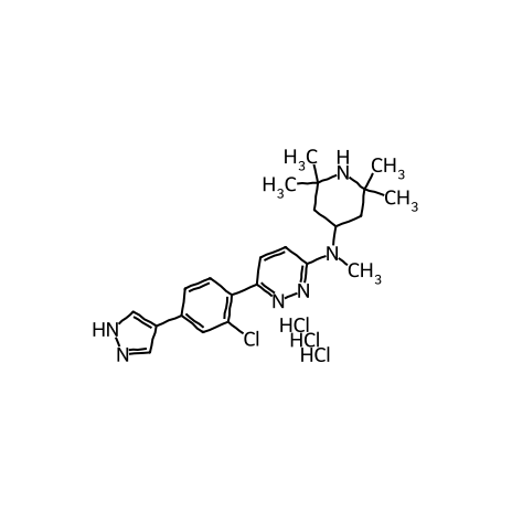 CN(c1ccc(-c2ccc(-c3cn[nH]c3)cc2Cl)nn1)C1CC(C)(C)NC(C)(C)C1.Cl.Cl.Cl